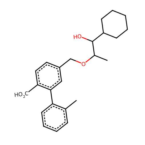 Cc1ccccc1-c1cc(COC(C)C(O)C2CCCCC2)ccc1C(=O)O